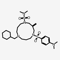 C=C1CN(S(=O)(=O)c2ccc(N(C)C)cc2)CCCN(CC2CCCCC2)CCCN(S(=O)(=O)N(C)C)C1